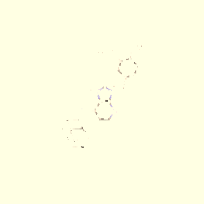 CCOC(=O)c1cnc2c(ncn2Cc2ccc(OC)c(OC)c2)c1NC1C2CC3CC1CC(O)(C3)C2